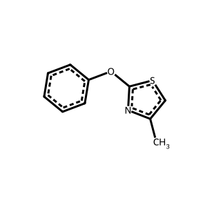 Cc1csc(Oc2ccccc2)n1